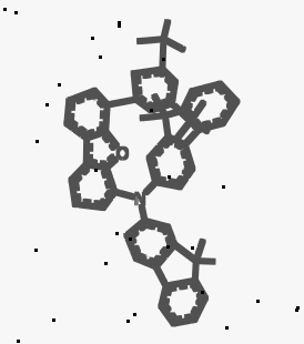 CC(C)(C)c1cc(-c2cccc3c2oc2c(N(c4ccc5c(c4)C(C)(C)c4ccccc4-5)c4ccc5c(c4)C(C)(C)c4ccccc4-5)cccc23)cc(C(C)(C)C)c1